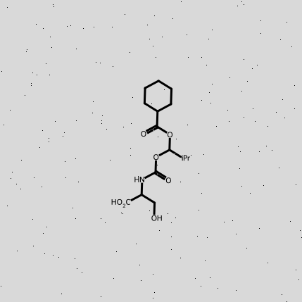 CC(C)C(OC(=O)NC(CO)C(=O)O)OC(=O)C1CCCCC1